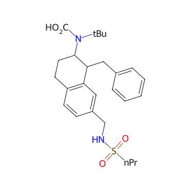 CCCS(=O)(=O)NCc1ccc2c(c1)C(Cc1ccccc1)C(N(C(=O)O)C(C)(C)C)CC2